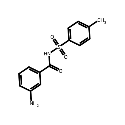 Cc1ccc(S(=O)(=O)NC(=O)c2cccc(N)c2)cc1